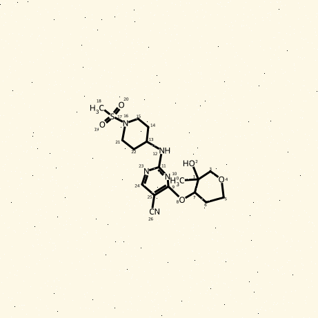 CC1(O)COCCC1Oc1nc(NC2CCN(S(C)(=O)=O)CC2)ncc1C#N